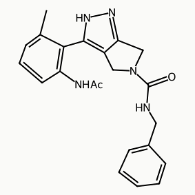 CC(=O)Nc1cccc(C)c1-c1[nH]nc2c1CN(C(=O)NCc1ccccc1)C2